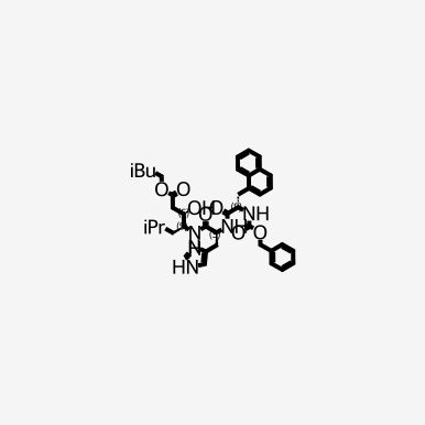 CCC(C)COC(=O)C[C@H](O)[C@H](CC(C)C)NC(=O)[C@H](Cc1c[nH]cn1)NC(=O)[C@H](Cc1cccc2ccccc12)NC(=O)OCc1ccccc1